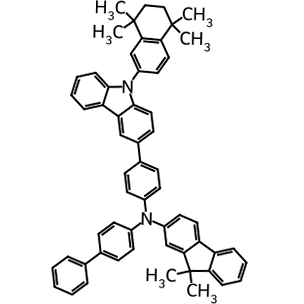 CC1(C)CCC(C)(C)c2cc(-n3c4ccccc4c4cc(-c5ccc(N(c6ccc(-c7ccccc7)cc6)c6ccc7c(c6)C(C)(C)c6ccccc6-7)cc5)ccc43)ccc21